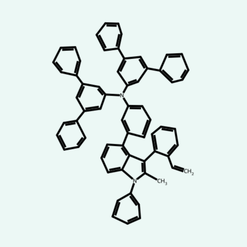 C=Cc1ccccc1-c1c(C)n(-c2ccccc2)c2cccc(-c3cccc(N(c4cc(-c5ccccc5)cc(-c5ccccc5)c4)c4cc(-c5ccccc5)cc(-c5ccccc5)c4)c3)c12